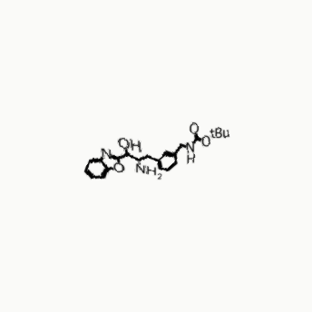 CC(C)(C)OC(=O)NCc1cccc(C[C@H](N)C(O)c2nc3ccccc3o2)c1